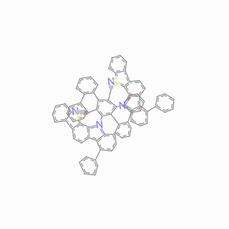 N#Cc1c(-c2ccccc2-c2ccccc2)c(C#N)c(-n2c3cccc(-c4ccccc4)c3c3ccc4c5ccccc5sc4c32)c(-c2ccccc2-c2ccccc2)c1-n1c2cccc(-c3ccccc3)c2c2ccc3c4ccccc4sc3c21